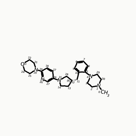 CN1CCN(c2ccccc2C[C@@H]2CCN(c3ccc(N4CCOCC4)nc3)C2)CC1